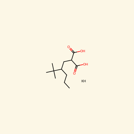 CCCC(CC(C(=O)O)C(=O)O)C(C)(C)C.[KH]